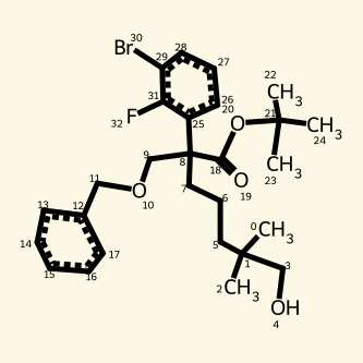 CC(C)(CO)CCCC(COCc1ccccc1)(C(=O)OC(C)(C)C)c1cccc(Br)c1F